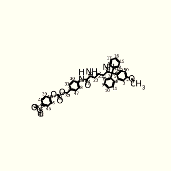 COc1ccc(C(c2ccccc2)(c2ccccc2)C(N)CCC[C@H](N)C(=O)Nc2ccc(COC(=O)Oc3ccc([N+](=O)[O-])cc3)cc2)cc1